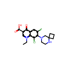 CCn1cc(C(=O)O)c(=O)c2cc(F)c(N3CCNC4(CCC4)C3)c(Cl)c21